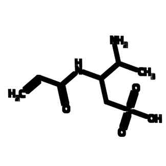 C=CC(=O)NC(CS(=O)(=O)O)C(C)N